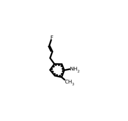 Cc1ccc(CC=CF)cc1N